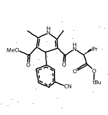 COC(=O)C1=C(C)NC(C)=C(C(=O)N[C@H](C(=O)OC(C)(C)C)C(C)C)C1c1cccc(C#N)c1